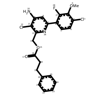 COc1c(Cl)ccc(-c2cc(N)c(Cl)c(COC(=O)CCc3ccccc3)n2)c1F